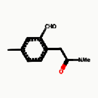 CNC(=O)Cc1ccc(C)cc1C=O